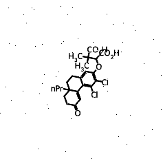 CCCC12CCC(=O)C=C1c1c(cc(OC(C(=O)O)C(C)(C)C(=O)O)c(Cl)c1Cl)CC2